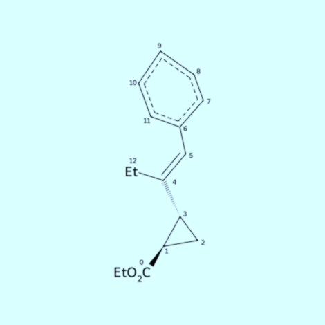 CCOC(=O)[C@@H]1C[C@H]1/C(=C/c1ccccc1)CC